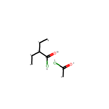 CC(=O)Cl.CCC(CC)C(=O)Cl